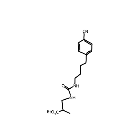 CCOC(=O)C(C)CNC(=O)NCCCCc1ccc(C#N)cc1